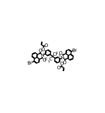 C=CC(=O)Oc1ccc(C(c2ccc(OC(=O)C=C)c(N3C(=O)c4cccc5c(Br)ccc(c45)C3=O)c2)(C(F)(F)F)C(F)(F)F)cc1N1C(=O)c2cccc3c(Br)ccc(c23)C1=O